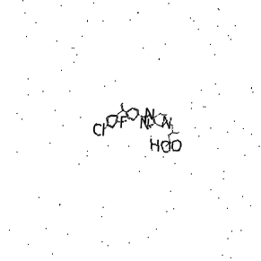 C=C(c1ccc(-c2ncc3c(n2)CCN(CC(C)CC(=O)O)C3)cc1)c1ccc(Cl)cc1F